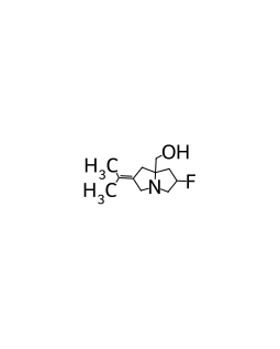 CC(C)=C1CN2CC(F)CC2(CO)C1